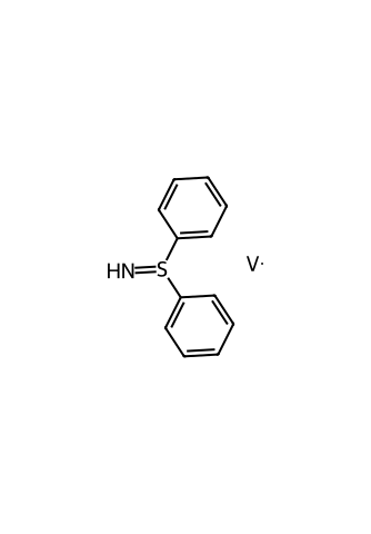 N=S(c1ccccc1)c1ccccc1.[V]